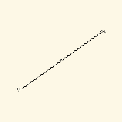 CCCCCCCCCCCCCCCCCCCCCCCC[P]CCCCCCCCCCCCCCCCCCCCCCCC